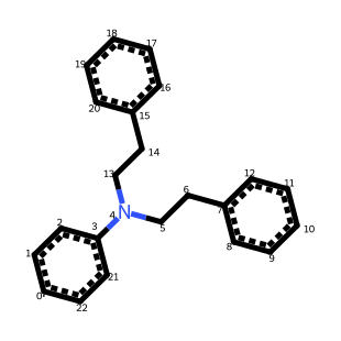 [c]1ccc(N(CCc2ccccc2)CCc2ccccc2)cc1